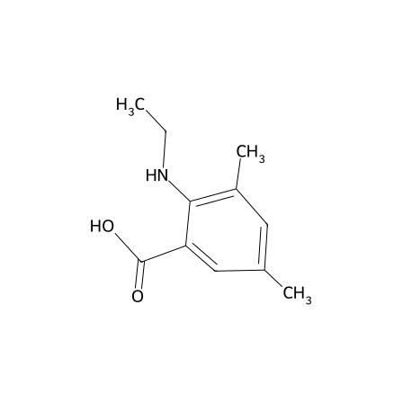 CCNc1c(C)cc(C)cc1C(=O)O